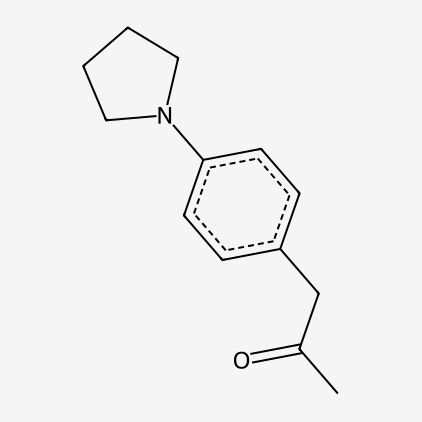 CC(=O)Cc1ccc(N2CCCC2)cc1